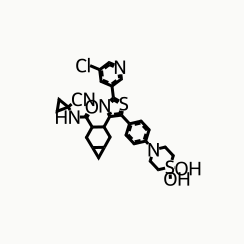 N#CC1(NC(=O)C2CC3CC3CC2c2nc(-c3cncc(Cl)c3)sc2-c2ccc(N3CCS(O)(O)CC3)cc2)CC1